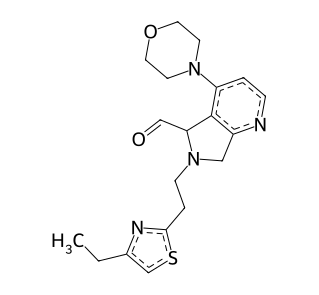 CCc1csc(CCN2Cc3nccc(N4CCOCC4)c3C2C=O)n1